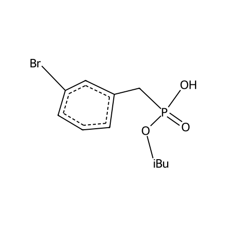 CCC(C)OP(=O)(O)Cc1cccc(Br)c1